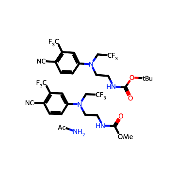 CC(C)(C)OC(=O)NCCN(CC(F)(F)F)c1ccc(C#N)c(C(F)(F)F)c1.CC(N)=O.COC(=O)NCCN(CC(F)(F)F)c1ccc(C#N)c(C(F)(F)F)c1